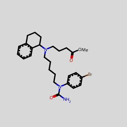 COC(=O)CCCN(CCCCCN(C(N)=O)c1ccc(Br)cc1)C1CCCc2ccccc21